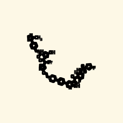 Cc1ncsc1-c1ccc(CNC(=O)[C@@H]2C[C@@H](O)CN2C(=O)C(c2cc(OCCN3CCN(c4ccc(-c5cnc6[nH]cc(C(=O)c7c(F)ccc(NS(=O)(=O)N8CC[C@@H](F)C8)c7F)c6c5)cc4)CC3)no2)C(C)C)cc1